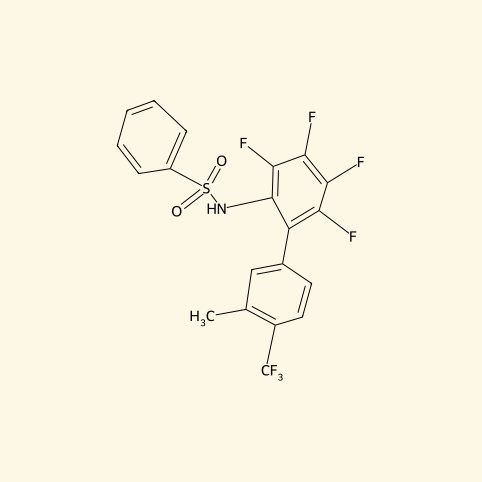 Cc1cc(-c2c(F)c(F)c(F)c(F)c2NS(=O)(=O)c2ccccc2)ccc1C(F)(F)F